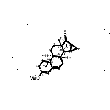 COC1=CC2=CC[C@@H]3[C@H](CC[C@]4(C)C(=O)C5CC5[C@@H]34)[C@@]2(C)CC1